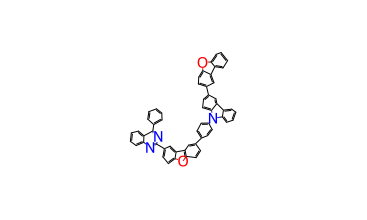 c1ccc(-c2nc(-c3ccc4oc5ccc(-c6ccc(-n7c8ccccc8c8cc(-c9ccc%10oc%11ccccc%11c%10c9)ccc87)cc6)cc5c4c3)nc3ccccc23)cc1